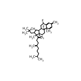 C=C1C=CC2(C)C(=C1)C(F)CC1C3CC(CC(C)(C)C)C(C)(C(=O)CCC(=C)CCCC(C)C)C3(C)CCC12F